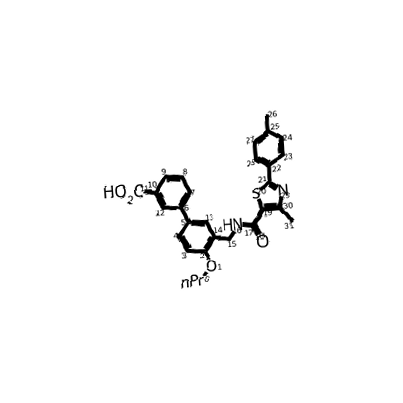 CCCOc1ccc(-c2cccc(C(=O)O)c2)cc1CNC(=O)c1sc(-c2ccc(C)cc2)nc1C